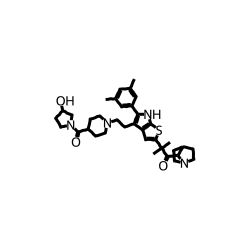 Cc1cc(C)cc(-c2[nH]c3sc(C(C)(C)C(=O)C4C5CCN4CC5)cc3c2CCN2CCC(C(=O)N3CCC(O)C3)CC2)c1